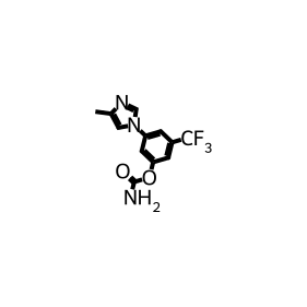 Cc1cn(-c2cc(OC(N)=O)cc(C(F)(F)F)c2)cn1